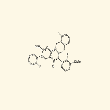 CCCCN[C@@H](Cn1c(=O)c(-c2cccc(OC)c2F)c(C)n(Cc2c(C)cccc2F)c1=O)c1ccccc1F